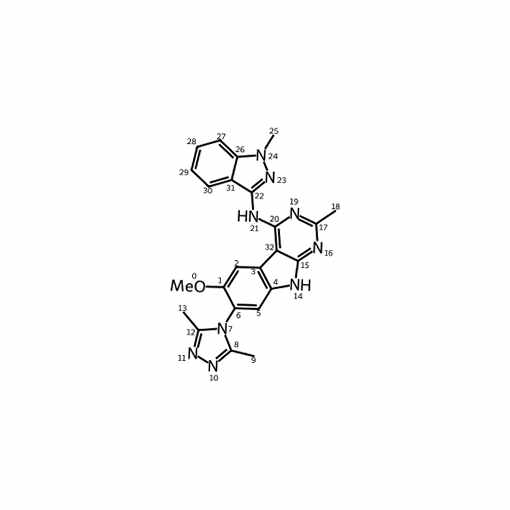 COc1cc2c(cc1-n1c(C)nnc1C)[nH]c1nc(C)nc(Nc3nn(C)c4ccccc34)c12